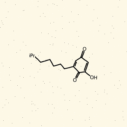 CC(C)CCCCCC1=CC(=O)C=C(O)C1=O